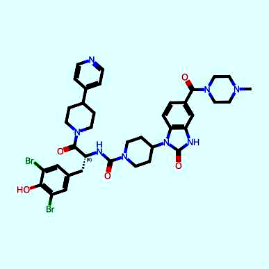 CN1CCN(C(=O)c2ccc3c(c2)[nH]c(=O)n3C2CCN(C(=O)N[C@H](Cc3cc(Br)c(O)c(Br)c3)C(=O)N3CCC(c4ccncc4)CC3)CC2)CC1